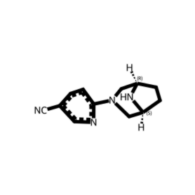 N#Cc1ccc(N2C[C@H]3CC[C@@H](C2)N3)nc1